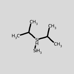 CC(C)[SiH]([SiH3])C(C)C